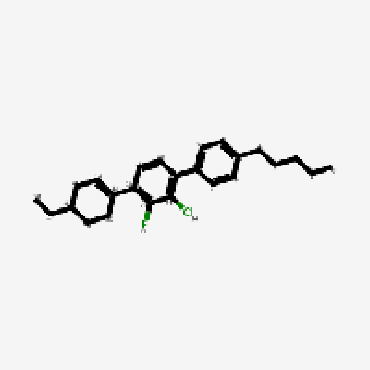 CCCCCc1ccc(-c2ccc(C3=CCC(CC)CC3)c(F)c2Cl)cc1